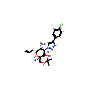 C=CC[C@H]1O[C@@H]2COC(C)(C)O[C@@H]2[C@H](n2cc(-c3ccc(Cl)c(F)c3)nn2)[C@H]1OC